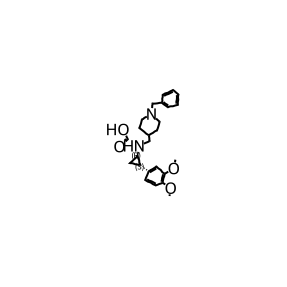 COc1ccc([C@@H]2C[C@H]2NCC2CCN(Cc3ccccc3)CC2)cc1OC.O=CO